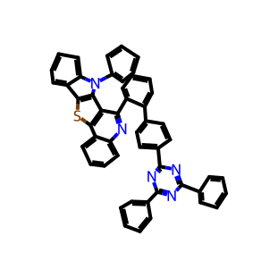 c1ccc(-c2nc(-c3ccccc3)nc(-c3ccc(-c4ccccc4-c4nc5ccccc5c5sc6c7ccccc7n(-c7ccccc7)c6c45)cc3)n2)cc1